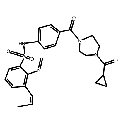 C=Nc1c(/C=C\C)cccc1S(=O)(=O)Nc1ccc(C(=O)N2CCN(C(=O)C3CC3)CC2)cc1